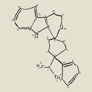 CN(C)C1(c2cccs2)CCC2(CC1)OCCc1c2[nH]c2ccccc12